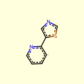 [c]1cccnc1-c1cncs1